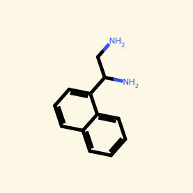 NCC(N)c1cccc2ccccc12